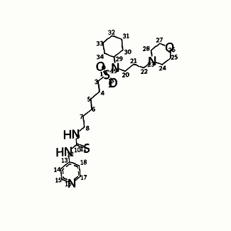 O=S(=O)(CCCCCCNC(=S)Nc1ccncc1)N(CCCN1CCOCC1)C1CCCCC1